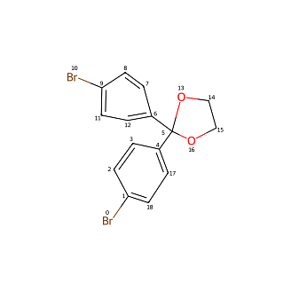 Brc1ccc(C2(c3ccc(Br)cc3)OCCO2)cc1